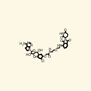 Nc1ncnc2c1ccn2[C@@H]1O[C@H]([C@H](O)c2ccc(Cl)c(OCC(=O)NCCOCCNc3cccc4c3C(=O)N(C3CCC(=O)NC3=O)C4=O)c2)[C@@H](O)[C@H]1O